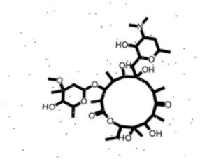 CCC1OC(=O)C(C)C(OC2CC(C)(OC)C(O)C(C)O2)C(C)C(O)C(O)(CC2OC(C)CC(N(C)C)C2O)CC(C)C(=O)C(C)C(O)C1(C)O